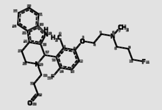 Cc1c(OCCN(C)CCCF)ccc(F)c1C1c2[nH]c3ccccc3c2CCN1CCC=O